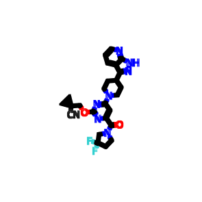 N#CC1(COc2nc(C(=O)N3CCC(F)(F)C3)cc(N3CCC(c4n[nH]c5ncccc45)CC3)n2)CC1